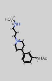 CC(=O)Nc1cccc(C2CCN(CCCNC(=O)O)CC2)c1